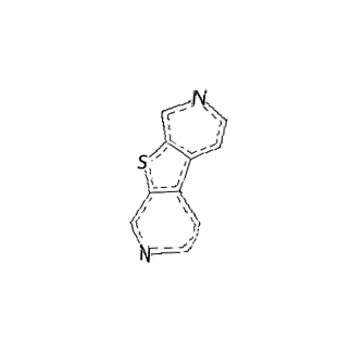 c1cc2c(cn1)sc1cnccc12